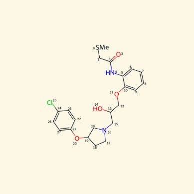 CSCC(=O)Nc1ccccc1OCC(O)CN1CCC(Oc2ccc(Cl)cc2)C1